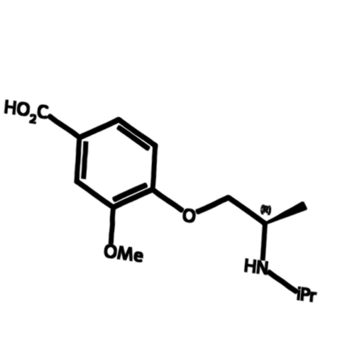 COc1cc(C(=O)O)ccc1OC[C@@H](C)NC(C)C